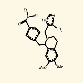 CCN(CC)C(=O)c1ccc(CC2c3cc(OC)c(OC)cc3CCN2Cc2[nH]cnc2C)cc1